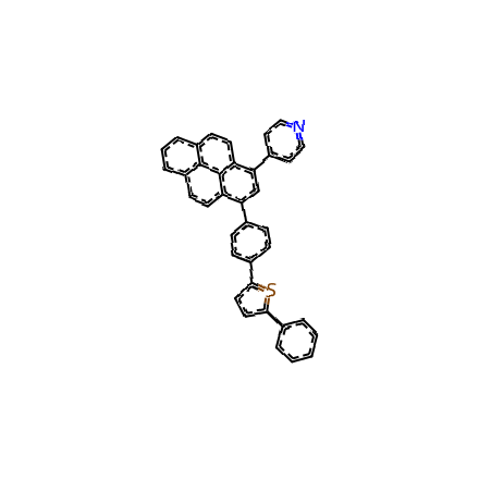 c1ccc(-c2ccc(-c3ccc(-c4cc(-c5ccncc5)c5ccc6cccc7ccc4c5c67)cc3)s2)cc1